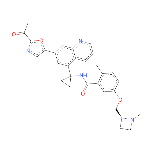 CC(=O)c1ncc(-c2cc(C3(NC(=O)c4cc(OC[C@@H]5CCN5C)ccc4C)CC3)c3cccnc3c2)o1